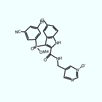 CCc1cc(C#N)cc(P(=O)(OC)c2c(C(=O)NCc3cnc[n+]([O-])c3)[nH]c3ccc(Cl)cc23)c1